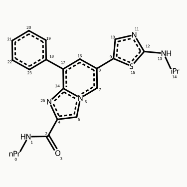 CCCNC(=O)c1cn2cc(-c3cnc(NC(C)C)s3)cc(-c3ccccc3)c2n1